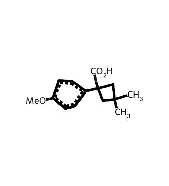 COc1ccc(C2(C(=O)O)CC(C)(C)C2)cc1